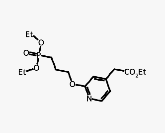 CCOC(=O)Cc1ccnc(OCCCP(=O)(OCC)OCC)c1